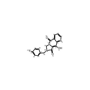 O=C1c2c(O)c3ncccc3c(=O)n2CN1Cc1ccc(F)cc1